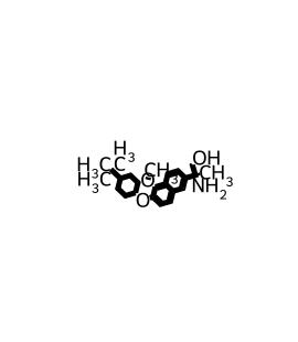 COc1c(OC2CCC(C(C)(C)C)CC2)ccc2cc([C@@](C)(N)CO)ccc12